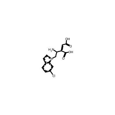 NC(Cn1ccc2ccc(Cl)cc21)/C(=C/C(=O)O)C(=O)O